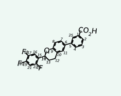 O=C(O)c1cccc(-c2ccc3c(c2)CC[C@@H](c2cc(F)c(F)cc2F)O3)c1